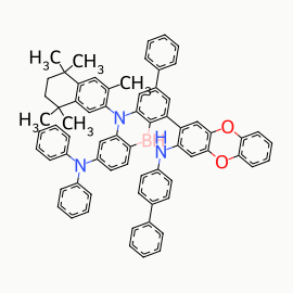 Cc1cc2c(cc1N1c3cc(N(c4ccccc4)c4ccccc4)ccc3Bc3c(-c4cc5c(cc4Nc4ccc(-c6ccccc6)cc4)Oc4ccccc4O5)cc(-c4ccccc4)cc31)C(C)(C)CCC2(C)C